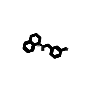 Brc1cccc(CN[C@H]2CCCc3ccccc32)c1